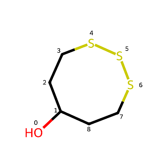 OC1CCSSSCC1